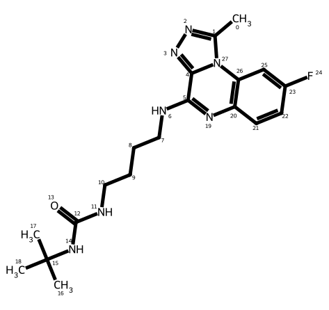 Cc1nnc2c(NCCCCNC(=O)NC(C)(C)C)nc3ccc(F)cc3n12